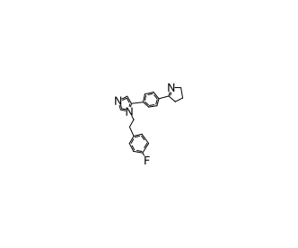 Fc1ccc(CCn2cncc2-c2ccc(C3=NCCC3)cc2)cc1